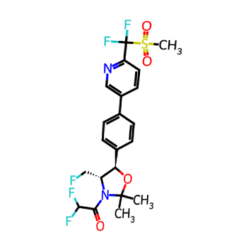 CC1(C)O[C@H](c2ccc(-c3ccc(C(F)(F)S(C)(=O)=O)nc3)cc2)[C@@H](CF)N1C(=O)C(F)F